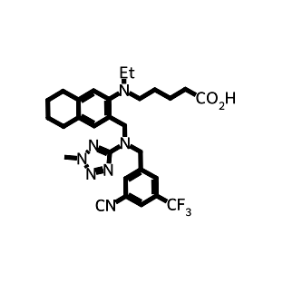 [C-]#[N+]c1cc(CN(Cc2cc3c(cc2N(CC)CCCCC(=O)O)CCCC3)c2nnn(C)n2)cc(C(F)(F)F)c1